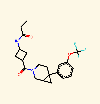 CCC(=O)NC1CC(C(=O)N2CCC3(c4cccc(OC(F)(F)F)c4)CC3C2)C1